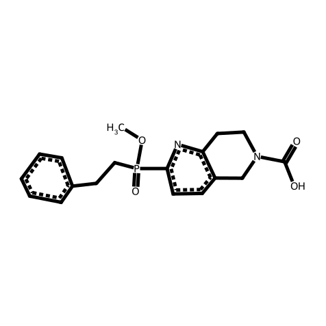 COP(=O)(CCc1ccccc1)c1ccc2c(n1)CCN(C(=O)O)C2